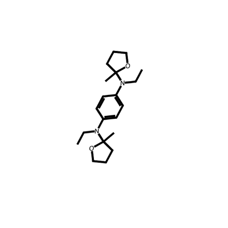 CCN(c1ccc(N(CC)C2(C)CCCO2)cc1)C1(C)CCCO1